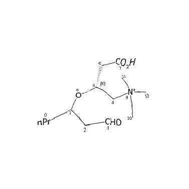 CCCC(CC=O)O[C@H](CC(=O)O)C[N+](C)(C)C